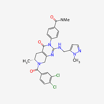 CNC(=O)c1ccc(-n2c(NCc3ccnn3C)nc3c(c2=O)C[C@@H](C)N(C(=O)c2ccc(Cl)c(Cl)c2)C3)cc1